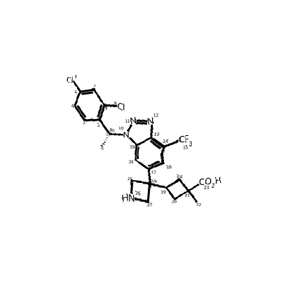 C[C@H](c1ccc(Cl)cc1Cl)n1nnc2c(C(F)(F)F)cc(C3(C4CC(C)(C(=O)O)C4)CNC3)cc21